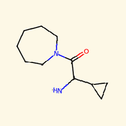 [NH]C(C(=O)N1CCCCCC1)C1CC1